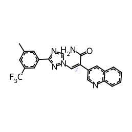 Cc1cc(-c2ncn(/C=C(\C(N)=O)c3cnc4ccccc4c3)n2)cc(C(F)(F)F)c1